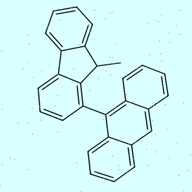 CC1c2ccccc2-c2cccc(-c3c4ccccc4cc4ccccc34)c21